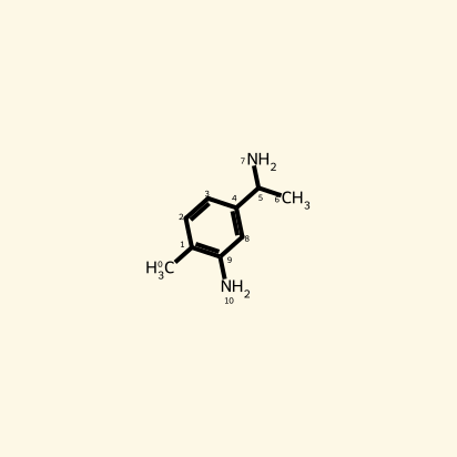 Cc1ccc(C(C)N)cc1N